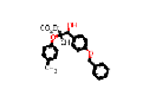 CCOC(=O)C(C)(Oc1ccc(C)cc1)C(O)c1ccc(OCc2ccccc2)cc1